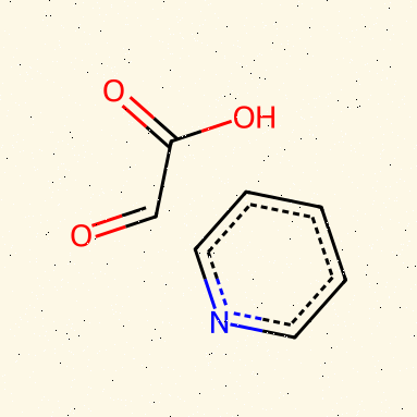 O=CC(=O)O.c1ccncc1